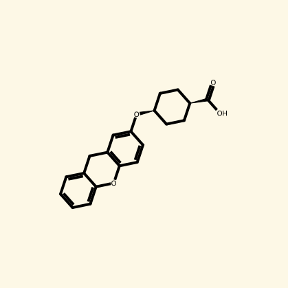 O=C(O)[C@H]1CC[C@@H](Oc2ccc3c(c2)Cc2ccccc2O3)CC1